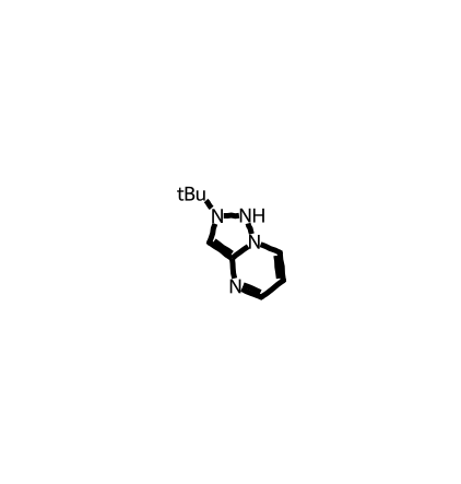 CC(C)(C)N1C=C2N=CC=CN2N1